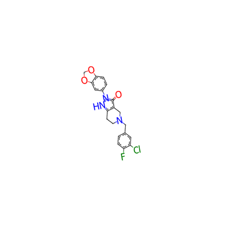 O=c1c2c([nH]n1-c1ccc3c(c1)OCO3)CCN(Cc1ccc(F)c(Cl)c1)C2